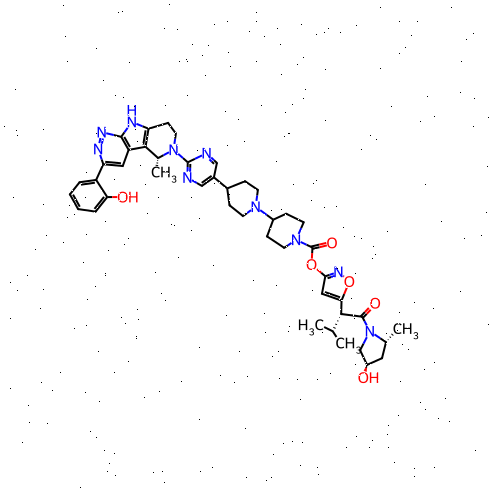 CC(C)[C@@H](C(=O)N1C[C@H](O)C[C@H]1C)c1cc(OC(=O)N2CCC(N3CCC(c4cnc(N5CCc6[nH]c7nnc(-c8ccccc8O)cc7c6[C@H]5C)nc4)CC3)CC2)no1